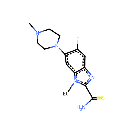 CCn1c(C(N)=S)nc2cc(F)c(N3CCN(C)CC3)cc21